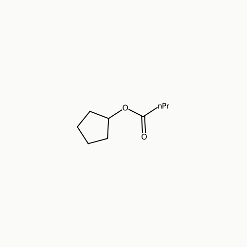 [CH2]CCC(=O)OC1CCCC1